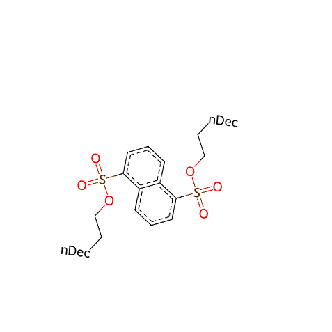 CCCCCCCCCCCCOS(=O)(=O)c1cccc2c(S(=O)(=O)OCCCCCCCCCCCC)cccc12